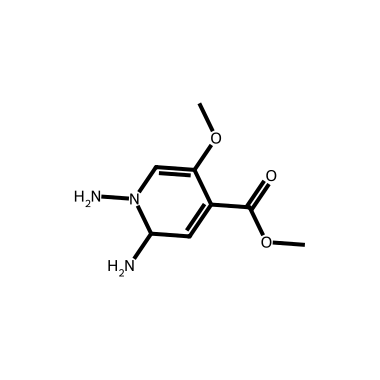 COC(=O)C1=CC(N)N(N)C=C1OC